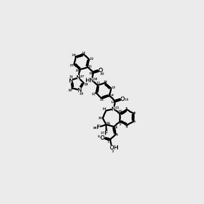 O=C(O)/C=C1/c2ccccc2N(C(=O)c2ccc(NC(=O)c3ccccc3-n3cncn3)cc2)CCC1(F)F